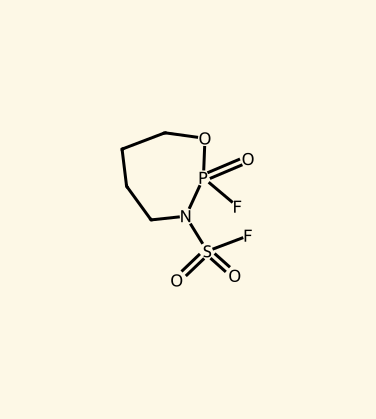 O=P1(F)OCCCCN1S(=O)(=O)F